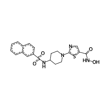 O=C(NO)c1cnc(N2CCC(NS(=O)(=O)c3ccc4ccccc4c3)CC2)s1